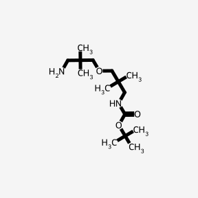 CC(C)(CN)COCC(C)(C)CNC(=O)OC(C)(C)C